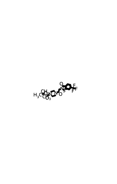 CC(C)(C)OC(=O)N1CCN(C(=O)Cn2sc3cc(C(F)(F)F)ccc3c2=O)CC1